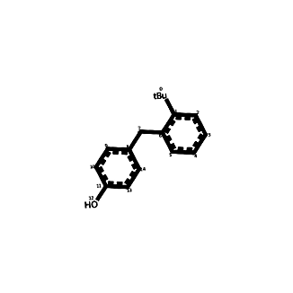 CC(C)(C)c1ccccc1[CH]c1ccc(O)cc1